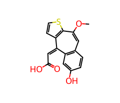 COC1=Cc2ccc(O)cc2/C(=C\C(=O)O)c2ccsc21